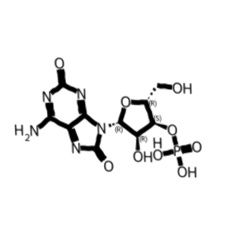 NC1=NC(=O)N=C2C1=NC(=O)N2[C@@H]1O[C@H](CO)[C@@H](OP(=O)(O)O)[C@H]1O